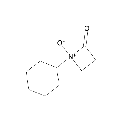 O=C1CC[N+]1([O-])C1CCCCC1